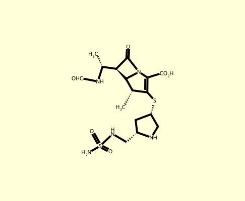 C[C@H]1C(S[C@@H]2CN[C@H](CNS(N)(=O)=O)C2)=C(C(=O)O)N2C(=O)[C@H]([C@@H](C)NC=O)C12